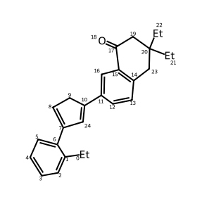 CCc1ccccc1C1=CCC(c2ccc3c(c2)C(=O)CC(CC)(CC)C3)=C1